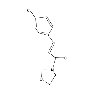 O=C(/C=C/c1ccc(Cl)cc1)N1CCOC1